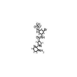 CS(=O)(=O)Nc1cc(Br)cc(NC(=O)c2cnn(-c3ncccc3N)c2)c1